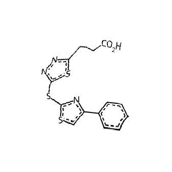 O=C(O)CCc1nnc(Sc2nc(-c3ccccc3)cs2)s1